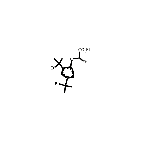 CCOC(=O)C(CC)Oc1ccc(C(C)(C)CC)cc1C(C)(C)CC